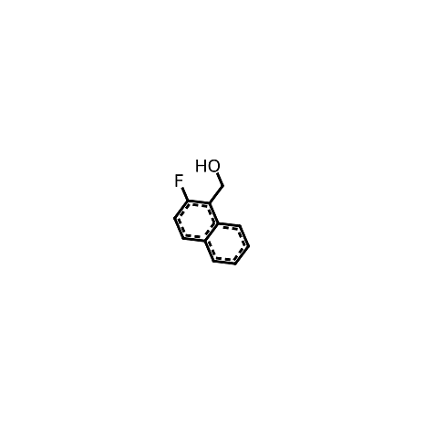 OCc1c(F)ccc2ccccc12